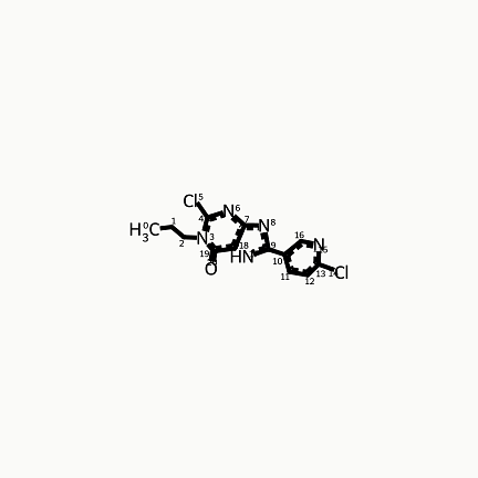 CCCn1c(Cl)nc2nc(-c3ccc(Cl)nc3)[nH]c2c1=O